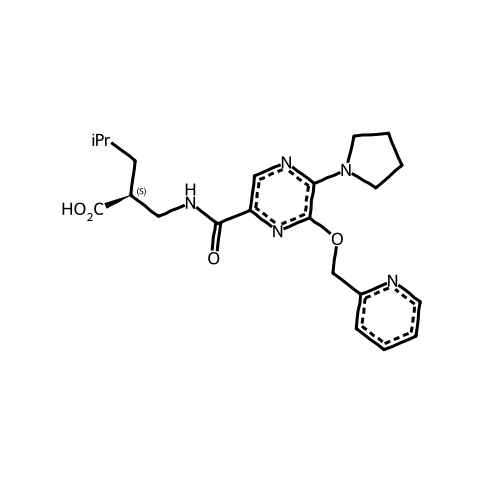 CC(C)C[C@@H](CNC(=O)c1cnc(N2CCCC2)c(OCc2ccccn2)n1)C(=O)O